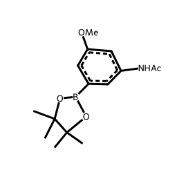 COc1cc(NC(C)=O)cc(B2OC(C)(C)C(C)(C)O2)c1